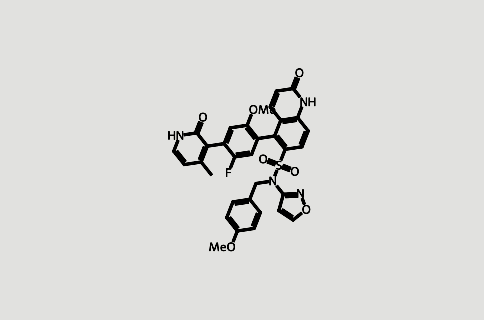 COc1ccc(CN(c2ccon2)S(=O)(=O)c2ccc3[nH]c(=O)ccc3c2-c2cc(F)c(-c3c(C)cc[nH]c3=O)cc2OC)cc1